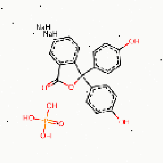 O=C1OC(c2ccc(O)cc2)(c2ccc(O)cc2)c2ccccc21.O=P(O)(O)O.[NaH].[NaH]